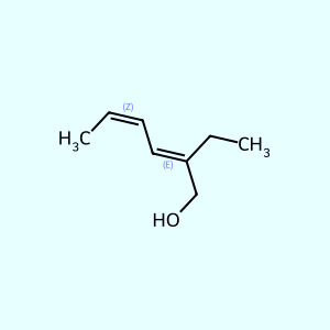 C/C=C\C=C(/CC)CO